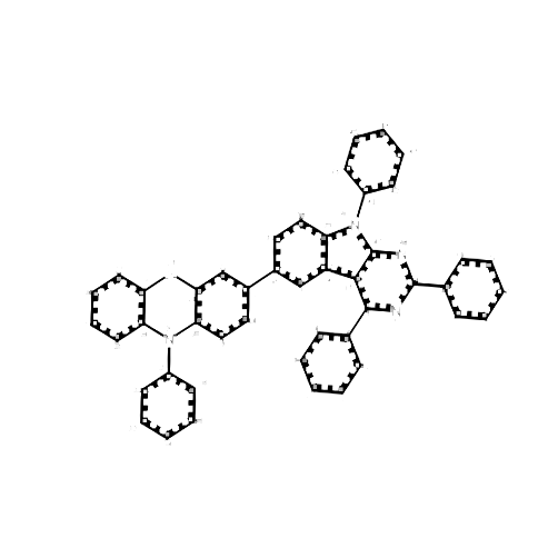 c1ccc(-c2nc(-c3ccccc3)c3c4cc(-c5ccc6c(c5)Sc5ccccc5N6c5ccccc5)ccc4n(-c4ccccc4)c3n2)cc1